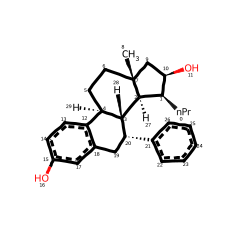 CCC[C@H]1[C@H]2[C@H]3[C@H](CC[C@]2(C)C[C@H]1O)c1ccc(O)cc1C[C@H]3c1ccccc1